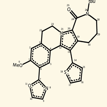 COc1cc2c(cc1-c1ncco1)-c1c(-c3cccs3)c3c(n1CC2)C(=O)N(C(C)(C)C)CCC3